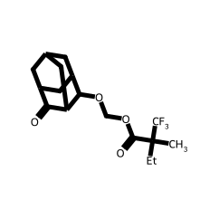 CCC(C)(C(=O)OCOC1C2CC3CC(C2)C(=O)C1C3)C(F)(F)F